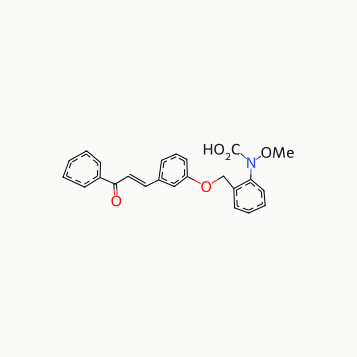 CON(C(=O)O)c1ccccc1COc1cccc(C=CC(=O)c2ccccc2)c1